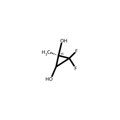 C[C@@]1(O)C(O)C1(F)F